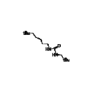 CC(C)(C)CCCCCNC(=O)NCC(C)(C)C